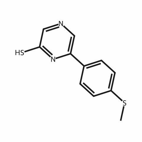 CSc1ccc(-c2cncc(S)n2)cc1